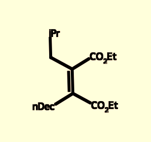 CCCCCCCCCCC(C(=O)OCC)=C(CC(C)C)C(=O)OCC